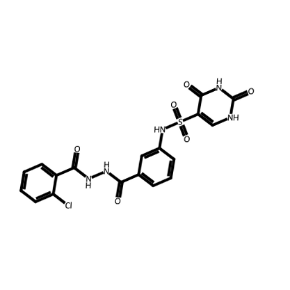 O=C(NNC(=O)c1ccccc1Cl)c1cccc(NS(=O)(=O)c2c[nH]c(=O)[nH]c2=O)c1